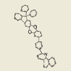 c1ccc(C2(c3ccccc3)c3ccccc3-c3cc4c(cc32)Oc2ccc(-c3ccc(-c5ccc6ccc7ccccc7c6n5)cc3)cc2O4)cc1